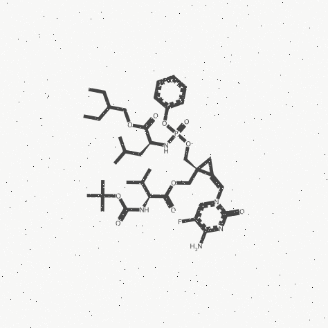 CCC(CC)COC(=O)[C@H](CC(C)C)NP(=O)(OC[C@@]1(COC(=O)[C@@H](NC(=O)OC(C)(C)C)C(C)C)C/C1=C/n1cc(F)c(N)nc1=O)Oc1ccccc1